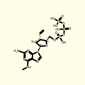 C=C[C@H]1[C@@H](F)[C@H](n2cnc3c(NC)nc(N)nc32)O[C@@H]1COP(=O)(O)OP(=O)(O)OP(=O)(O)O